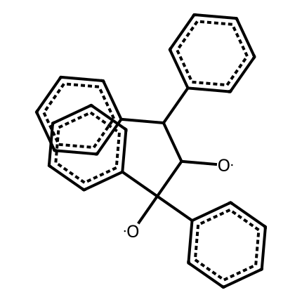 [O]C(C(c1ccccc1)c1ccccc1)C([O])(c1ccccc1)c1ccccc1